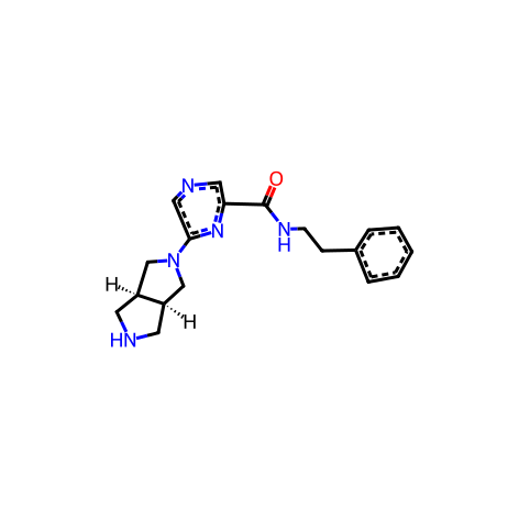 O=C(NCCc1ccccc1)c1cncc(N2C[C@H]3CNC[C@H]3C2)n1